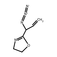 C=CC(N=[N+]=[N-])C1=NCCO1